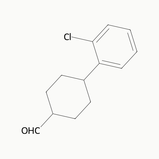 O=CC1CCC(c2ccccc2Cl)CC1